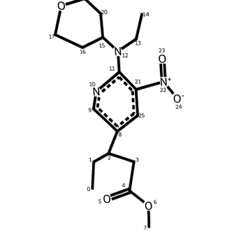 CCC(CC(=O)OC)c1cnc(N(CC)C2CCOCC2)c([N+](=O)[O-])c1